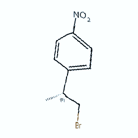 C[C@@H](CBr)c1ccc([N+](=O)[O-])cc1